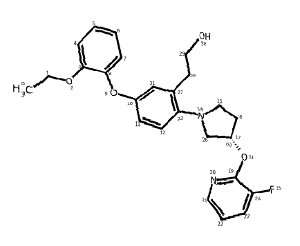 CCOc1ccccc1Oc1ccc(N2CC[C@H](Oc3ncccc3F)C2)c(CCO)c1